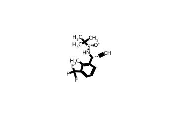 C#C[C@@H](N[S+]([O-])C(C)(C)C)c1cccc(C(F)(F)F)c1C